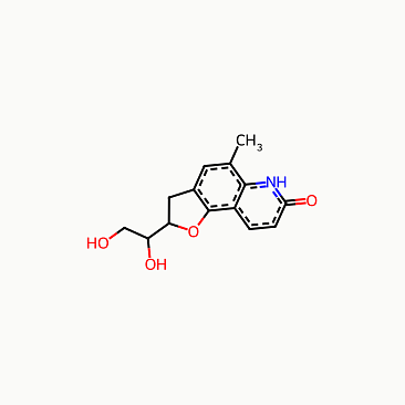 Cc1cc2c(c3ccc(=O)[nH]c13)OC(C(O)CO)C2